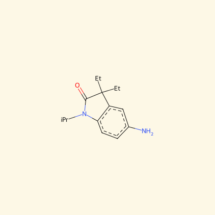 CCC1(CC)C(=O)N(C(C)C)c2ccc(N)cc21